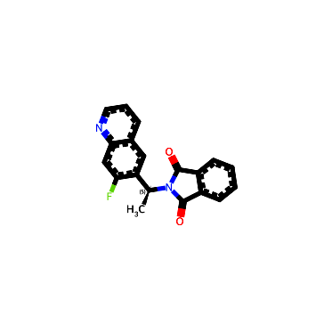 C[C@@H](c1cc2cccnc2cc1F)N1C(=O)c2ccccc2C1=O